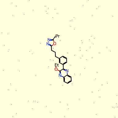 CCOc1nc2ccccc2nc1-c1cccc(CCCc2nnc(C(C)C)o2)c1